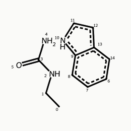 CCNC(N)=O.c1ccc2[nH]ccc2c1